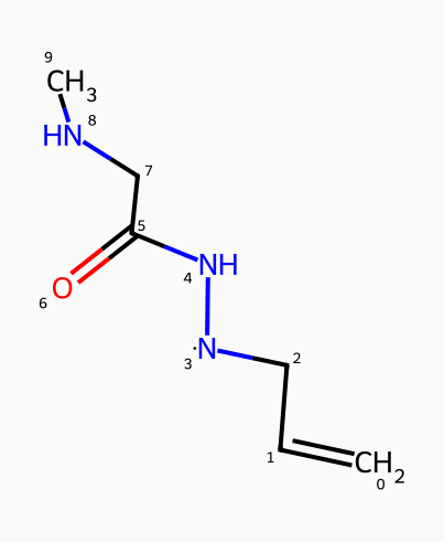 C=CC[N]NC(=O)CNC